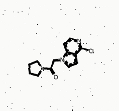 O=C(Cn1ccc2c(Cl)nccc21)N1CCCC1